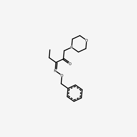 CCC(=NOCc1ccccc1)C(=O)CN1CCOCC1